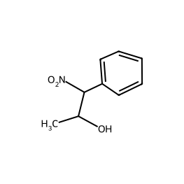 CC(O)C(c1ccccc1)[N+](=O)[O-]